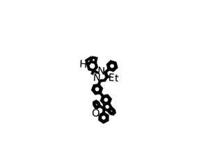 CCC1=C(c2ccccc2)N=C(C2(C)CC3CC4C[C@H](C2)C43)N=C(c2cccc(-c3ccc4c(c3)C3(c5ccccc5Oc5ccccc53)c3ccccc3-4)c2)C1